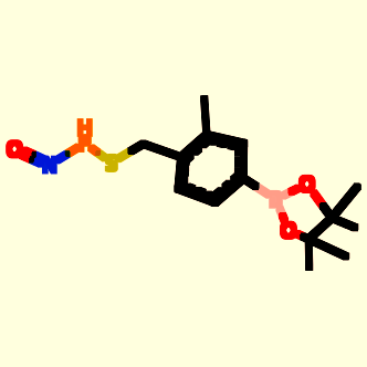 Cc1cc(B2OC(C)(C)C(C)(C)O2)ccc1CSPN=O